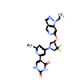 Cc1cc(N2CC(Oc3cc4c(cn3)cnn4CC(F)(F)F)C(F)(F)C2)cc(-c2c[nH]c(=O)[nH]c2=O)n1